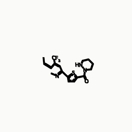 C\C=C/C(=C\C(=N/C)c1ccc(C(=O)N2CCCCN2)s1)C(F)(F)F